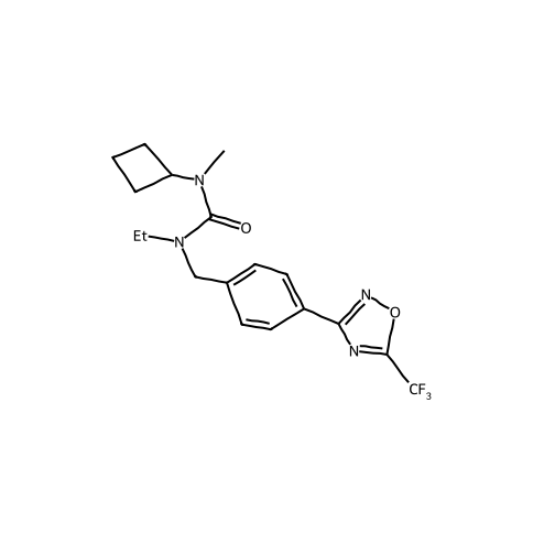 CCN(Cc1ccc(-c2noc(C(F)(F)F)n2)cc1)C(=O)N(C)C1CCC1